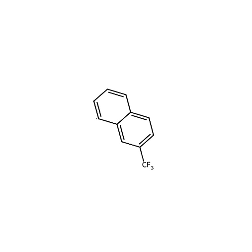 FC(F)(F)c1ccc2ccc[c]c2c1